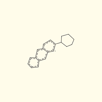 [c]1c(C2CCCCC2)ccc2cc3ccccc3cc12